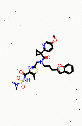 COc1ccc(C2(C(=O)N(CCCc3cc4ccccc4o3)Cc3nc(C(=O)NS(=O)(=O)N(C)C)c(C)s3)CC2)nc1